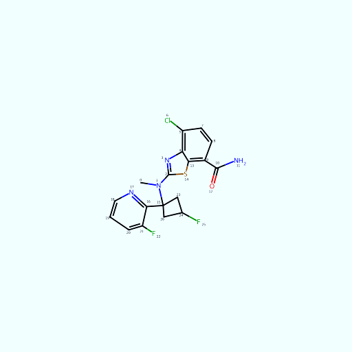 CN(c1nc2c(Cl)ccc(C(N)=O)c2s1)C1(c2ncccc2F)CC(F)C1